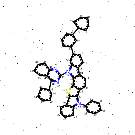 c1ccc(-c2cccc(-c3ccc4c5ccc6c(sc7c8ccccc8n(-c8ccccc8)c67)c5n(-c5nc(-c6ccccc6)c6ccccc6n5)c4c3)c2)cc1